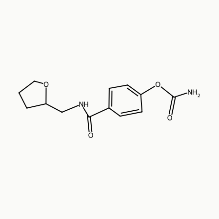 NC(=O)Oc1ccc(C(=O)NCC2CCCO2)cc1